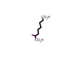 O=C(O)CCCCCC(I)C(=O)O